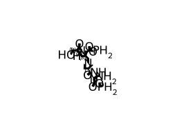 C[C@@H](O)C1C(=O)N2C(C(=O)OP)=C(CN3CC[C@H](C(=O)NC(N)=NC(=O)OP)C3)[C@H](C)[C@H]12